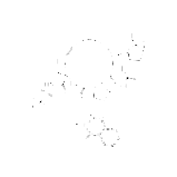 CCn1nc(O[C@@H]2C[C@H]3C(=O)N[C@]4(C(=O)NS(=O)(=O)C5(C)CC5)C[C@H]4/C=C\CC[C@H](C)C[C@@H](C)[C@H](N(C(=O)O)[C@H]4CC5C[C@H]5C4)C(=O)N3C2)c2ccccc2c1=O